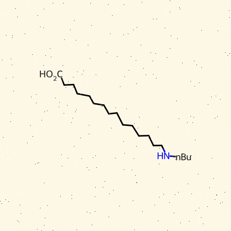 CCCCNCCCCCCCCCCCCCCC(=O)O